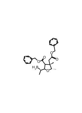 B[C@H](C)C1O[C@@H](C)[C@@](C)(CC(=O)OCc2ccccc2)C1C(=O)OCc1ccccc1